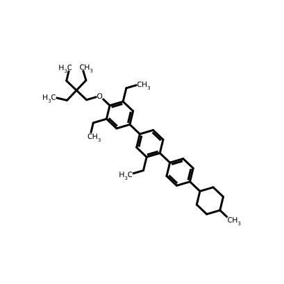 CCc1cc(-c2cc(CC)c(OCC(CC)(CC)CC)c(CC)c2)ccc1-c1ccc(C2CCC(C)CC2)cc1